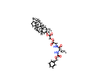 CC(=O)[C@H]1CC[C@H]2[C@@H]3CC[C@H]4C[C@](C)(OC(=O)COC(=O)CNC(=O)[C@H](C)NC(=O)OCc5ccccc5)CC[C@]4(C)[C@H]3CC[C@]12C